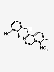 Cc1ccc2c(Nc3cccc(C#N)c3F)nccc2c1[N+](=O)[O-]